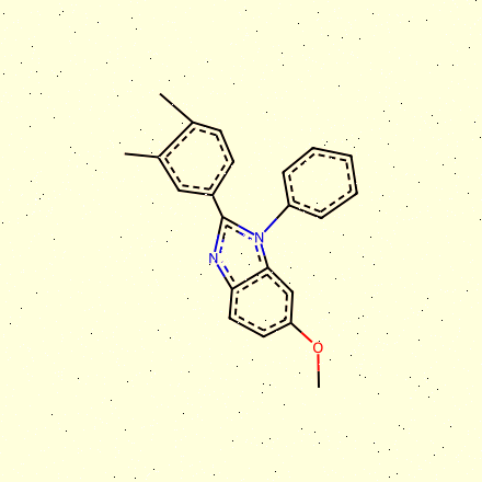 COc1ccc2nc(-c3ccc(C)c(C)c3)n(-c3ccccc3)c2c1